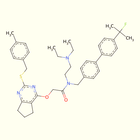 CCN(CC)CCN(Cc1ccc(-c2ccc(C(C)(C)F)cc2)cc1)C(=O)COc1nc(SCc2ccc(C)cc2)nc2c1CCC2